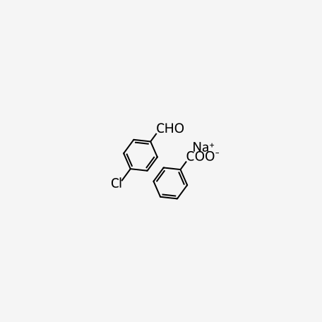 O=C([O-])c1ccccc1.O=Cc1ccc(Cl)cc1.[Na+]